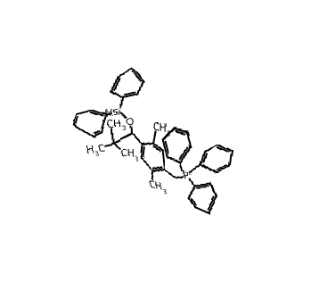 Cc1cc(C(O[SiH](c2ccccc2)c2ccccc2)C(C)(C)C)c(C)cc1C[P](c1ccccc1)(c1ccccc1)c1ccccc1